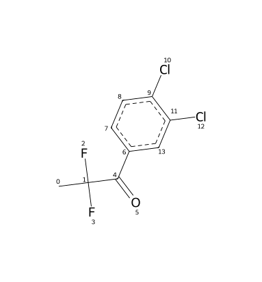 CC(F)(F)C(=O)c1ccc(Cl)c(Cl)c1